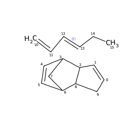 C1=CC2C3C=CC(C3)C2C1.C=C/C=C/CC